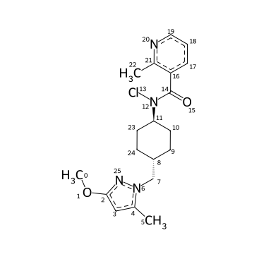 COc1cc(C)n(C[C@H]2CC[C@H](N(Cl)C(=O)c3cccnc3C)CC2)n1